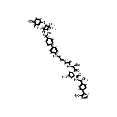 Cc1ncsc1-c1ccc([C@H](C)NC(=O)[C@@H]2C[C@@H](O)CN2C(=O)[C@@H](NC(=O)CNCCNc2ccc(-c3ccc(C(=O)N[C@H]4C(C)(C)[C@H](Oc5ccc(C#N)c(Cl)c5)C4(C)C)cc3)cc2)C(C)(C)C)cc1